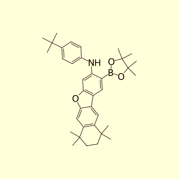 CC(C)(C)c1ccc(Nc2cc3oc4cc5c(cc4c3cc2B2OC(C)(C)C(C)(C)O2)C(C)(C)CCC5(C)C)cc1